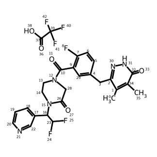 Cc1c(Cc2ccc(F)c(C(=O)N3CCN(C(c4cccnc4)C(F)F)C(=O)C3)c2)n[nH]c(=O)c1C.O=C(O)C(F)(F)F